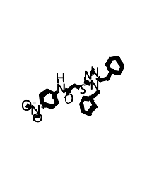 O=C(CSc1nnc(Cc2ccccc2)n1Cc1ccccc1)Nc1ccc([N+](=O)[O-])cc1